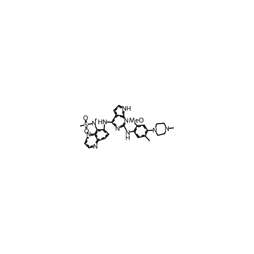 COc1cc(N2CCN(C)CC2)c(C)cc1Nc1nc(Nc2ccc3nccnc3c2N(C)S(C)(=O)=O)c2cc[nH]c2n1